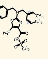 C/C=C\C(=C/C)CN(Cc1ccncc1)c1nc(C(=O)NS(C)(=O)=O)c(C)s1